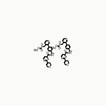 C[C@@H](NC(=O)c1ccnc(C2=CCOCC2)n1)c1ccc(-c2cnccc2CNC(=O)OC(C)(C)C)cc1.C[C@@H](NC(=O)c1ccnc(C2=CCOCC2)n1)c1ccc(-c2cnccc2CNC(=O)OC(C)(C)C)cc1